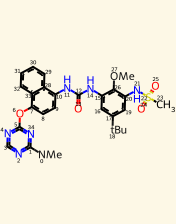 CNc1ncnc(Oc2ccc(NC(=O)Nc3cc(C(C)(C)C)cc(NS(C)(=O)=O)c3OC)c3ccccc23)n1